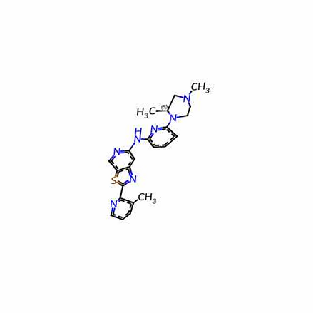 Cc1cccnc1-c1nc2cc(Nc3cccc(N4CCN(C)C[C@@H]4C)n3)ncc2s1